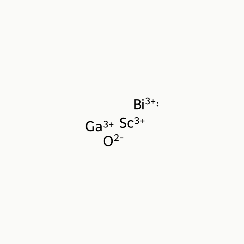 [Bi+3].[Ga+3].[O-2].[Sc+3]